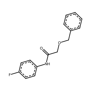 O=C(COCc1ccccc1)Nc1ccc(F)cc1